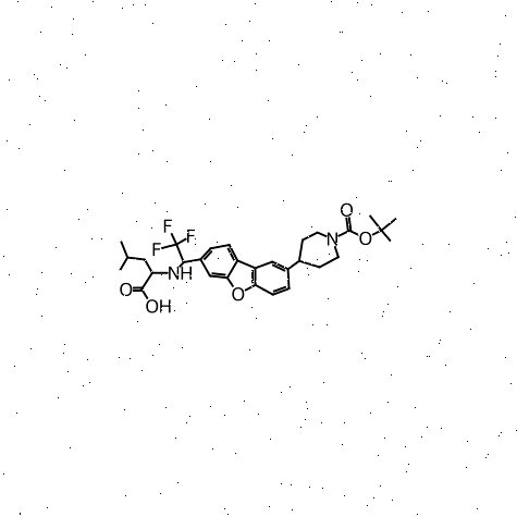 CC(C)CC(NC(c1ccc2c(c1)oc1ccc(C3CCN(C(=O)OC(C)(C)C)CC3)cc12)C(F)(F)F)C(=O)O